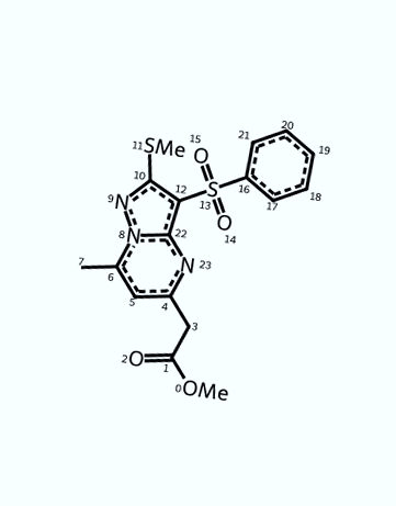 COC(=O)Cc1cc(C)n2nc(SC)c(S(=O)(=O)c3ccccc3)c2n1